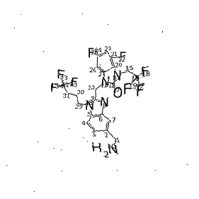 NCc1ccc2c(c1)nc(Cn1c(=O)n(CC(F)(F)F)c3c(F)cc(F)cc31)n2CCCC(F)(F)F